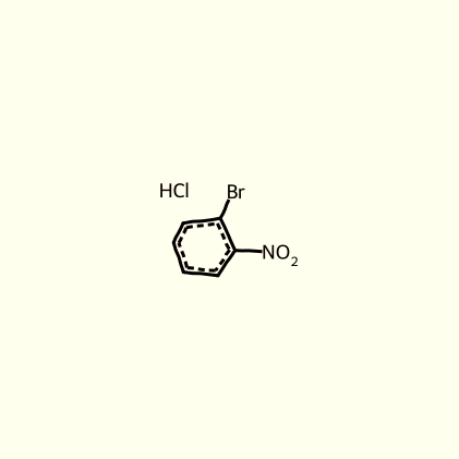 Cl.O=[N+]([O-])c1ccccc1Br